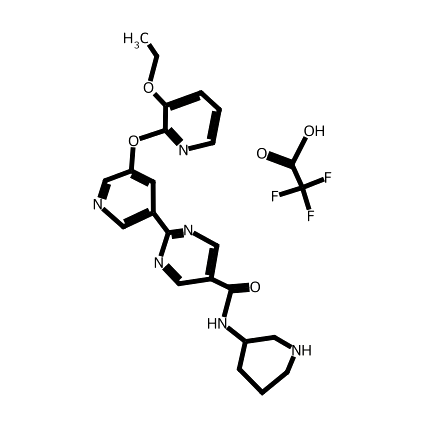 CCOc1cccnc1Oc1cncc(-c2ncc(C(=O)NC3CCCNC3)cn2)c1.O=C(O)C(F)(F)F